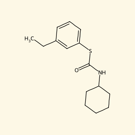 CCc1cccc(SC(=O)NC2CCCCC2)c1